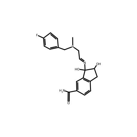 CN(CC=NC1(O)c2cc(C(N)=O)ccc2CC1O)Cc1ccc(F)cc1